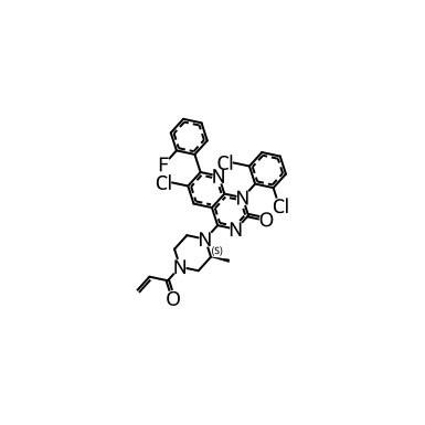 C=CC(=O)N1CCN(c2nc(=O)n(-c3c(Cl)cccc3Cl)c3nc(-c4ccccc4F)c(Cl)cc23)[C@@H](C)C1